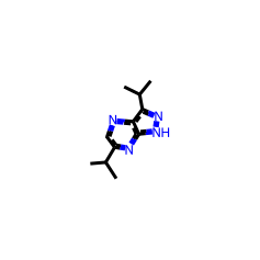 CC(C)c1cnc2c(C(C)C)n[nH]c2n1